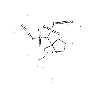 O=C=NS(=O)(=O)N(C1(CCCF)NCCS1)S(=O)(=O)N=C=O